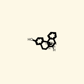 Oc1ccc2c(c1)CC[C@H]1[C@H]3Cc4ccccc4[C@@]21CCN3